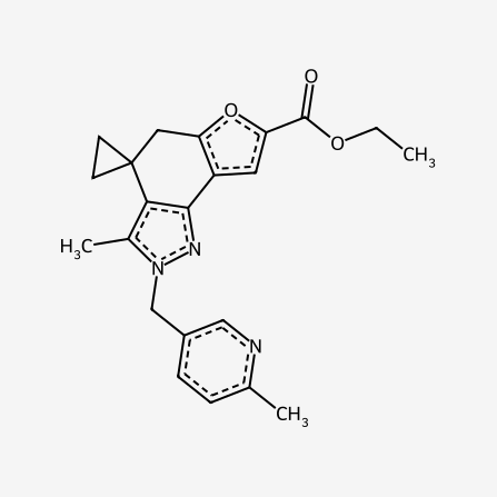 CCOC(=O)c1cc2c(o1)CC1(CC1)c1c-2nn(Cc2ccc(C)nc2)c1C